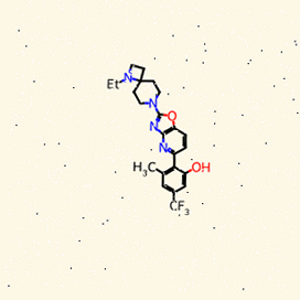 CCN1CCC12CCN(c1nc3nc(-c4c(C)cc(C(F)(F)F)cc4O)ccc3o1)CC2